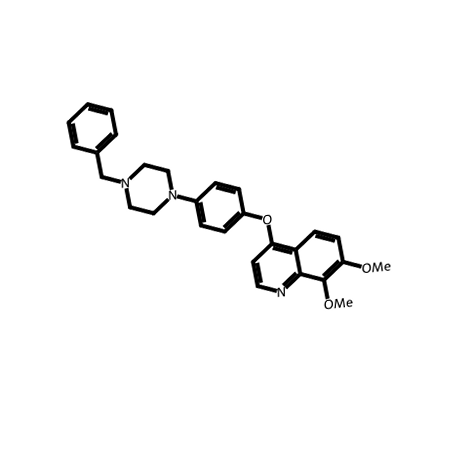 COc1ccc2c(Oc3ccc(N4CCN(Cc5ccccc5)CC4)cc3)ccnc2c1OC